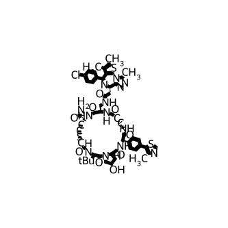 Cc1ncsc1-c1ccc([C@H]2NC(=O)[C@@H]3C[C@@H](O)CN3C(=O)C(C(C)(C)C)NC(=O)CSCC[C@H](C(N)=O)NC(=O)[C@@H](CNC(=O)C[C@@H]3N=C(c4ccc(Cl)cc4)c4c(sc(C)c4C)-n4c(C)nnc43)NC(=O)CCNC2=O)cc1